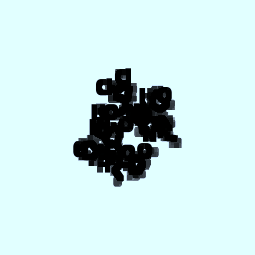 CCC(NC(=O)c1cnc2c(cnn2CC)c1NC1CCOCC1)c1cccc(OC)c1.CCn1ncc2c(NC3CCOCC3)c(C(=O)NC(CO)c3ccc(Cl)c(Cl)c3)cnc21